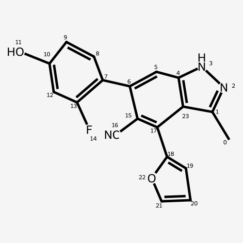 Cc1n[nH]c2cc(-c3ccc(O)cc3F)c(C#N)c(-c3ccco3)c12